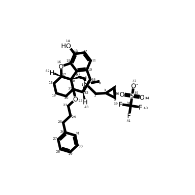 C[N+]1(CC2CC2)CC[C@]23c4c5ccc(O)c4O[C@H]2CCCC3(OCCCc2ccccc2)[C@H]1C5.O=S(=O)([O-])C(F)(F)F